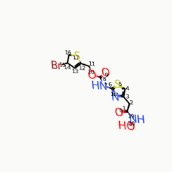 O=C(Cc1csc(NC(=O)OCC2=CC(Br)CS2)n1)NO